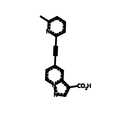 Cc1cccc(C#Cc2ccn3ncc(C(=O)O)c3c2)n1